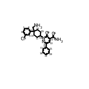 NCC1(c2cccc(Cl)c2)CCC(n2nc(-c3ccccc3)cc(C(N)=O)c2=O)CC1